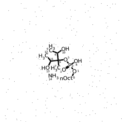 CCCCCCCCOP(=O)(O)OC(C)(C(C)O)C(C)O.N